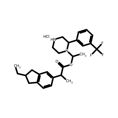 CCC1Cc2ccc(C(C)C(=O)OC(C)N3CCNCC3c3cccc(C(F)(F)F)c3)cc2C1.Cl